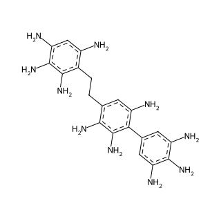 Nc1cc(-c2c(N)cc(CCc3c(N)cc(N)c(N)c3N)c(N)c2N)cc(N)c1N